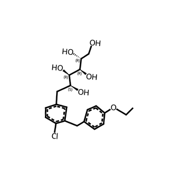 CCOc1ccc(Cc2cc(C[C@H](O)[C@@H](O)[C@H](O)[C@H](O)CO)ccc2Cl)cc1